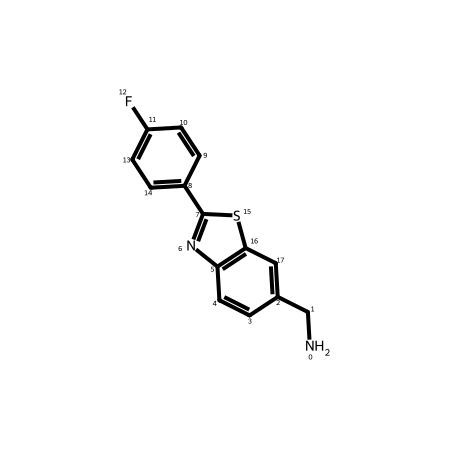 NCc1ccc2nc(-c3ccc(F)cc3)sc2c1